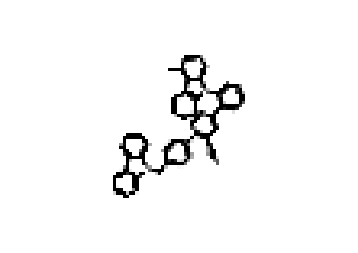 Cc1cccc2c1c1c(n2-c2ccccc2-c2ccc(-c3ccc(Cn4c5ccccc5c5ccccc54)cc3)c(C#N)c2)CCC=C1